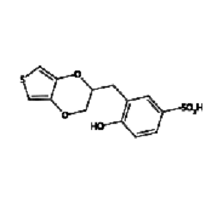 O=S(=O)(O)c1ccc(O)c(CC2COc3cscc3O2)c1